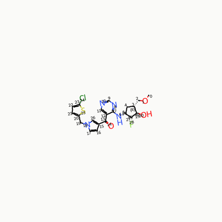 COC[C@H]1C[C@@H](Nc2ncncc2C(=O)c2ccn(Cc3ccc(Cl)s3)c2)[C@@H](F)[C@@H]1O